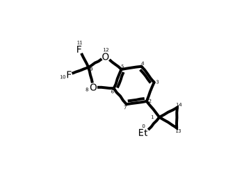 CCC1(c2ccc3c(c2)OC(F)(F)O3)CC1